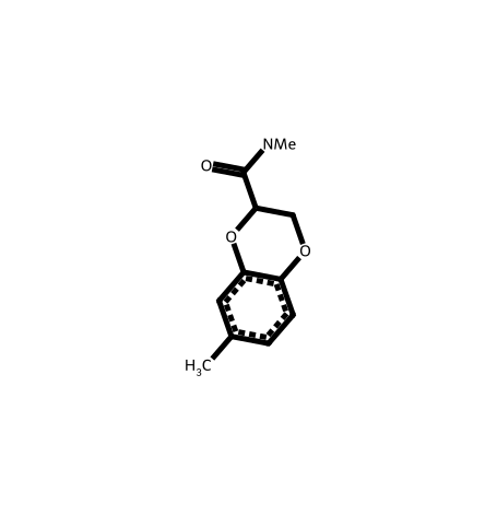 CNC(=O)C1COc2ccc(C)cc2O1